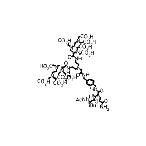 CCC(C)[C@H](NC(C)=O)C(=O)N[C@@H](CCC(N)=O)C(=O)NCc1ccc(CNC(=O)CN(CCNC(=O)[C@@H](CN(CCN(CC(=O)O)CC(=O)O)CC(=O)O)N(CC(=O)O)CC(=O)O)CCNC(=O)[C@@H](CN(CCN(CC(=O)O)CC(=O)O)CC(=O)O)N(CC(=O)O)CC(=O)O)cc1